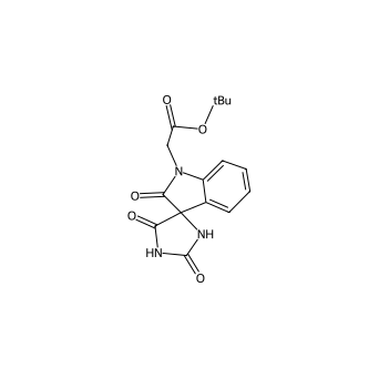 CC(C)(C)OC(=O)CN1C(=O)C2(NC(=O)NC2=O)c2ccccc21